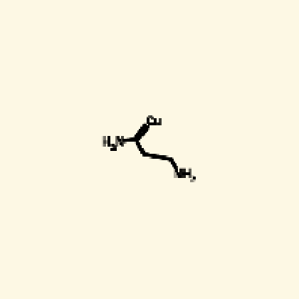 NCC[C](N)=[Cu]